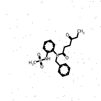 CCC(=O)CCC(=O)N(Cc1ccccc1)c1ccccc1NS(C)(=O)=O